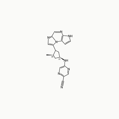 C[C@@H]1C[C@H](Nc2cnc(C#N)cn2)CC1c1cnc2cnc3[nH]ccc3n12